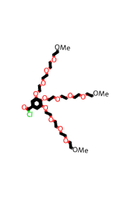 COCCOCCOCCOCCOc1cc(C(=O)Cl)cc(OCCOCCOCCOCCOC)c1OCCOCCOCCOCCOC